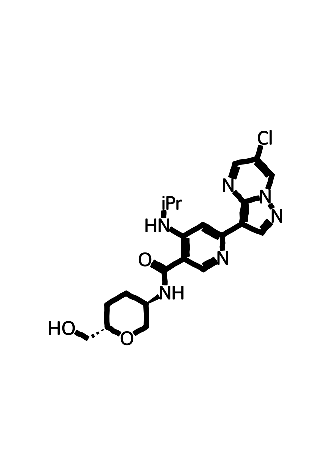 CC(C)Nc1cc(-c2cnn3cc(Cl)cnc23)ncc1C(=O)N[C@@H]1CC[C@@H](CO)OC1